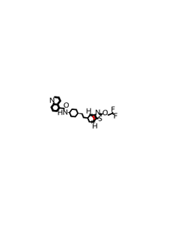 O=C(N[C@H]1CC[C@H](CCC2C[C@H]3CC[C@@H]2c2nc(OCC(F)F)sc23)CC1)c1cccc2ncccc12